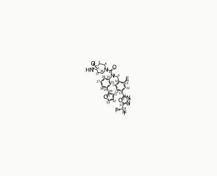 N=S1(=O)CCN(C(=O)N(Cc2ccc(-c3nnc(C(F)F)o3)cc2F)c2cccc(-c3ccco3)c2)CC1